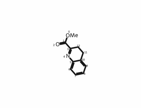 COC(=O)C1=Nc2ccccc2CC1